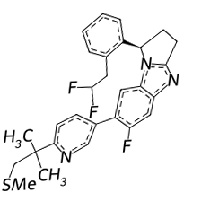 CSCC(C)(C)c1ccc(-c2cc3c(cc2F)nc2n3[C@@H](c3ccccc3CC(F)F)CC2)cn1